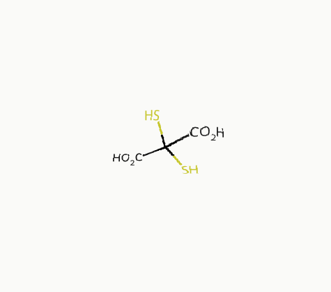 O=C(O)C(S)(S)C(=O)O